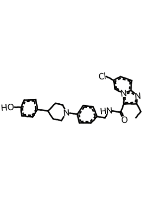 CCc1nc2ccc(Cl)cn2c1C(=O)NCc1ccc(N2CCC(c3ccc(O)cc3)CC2)cc1